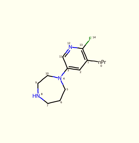 CCCc1cc(N2CCCNCC2)cnc1F